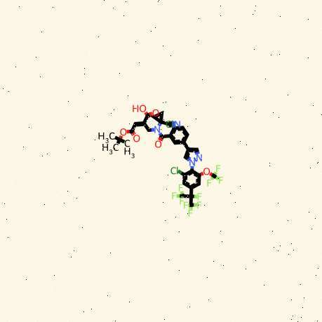 CC(C)(C)OC(=O)/C=C(\CN(C(=O)c1cc(-c2cnn(-c3c(Cl)cc(C(F)(C(F)(F)F)C(F)(F)F)cc3OC(F)(F)F)c2)ccc1Cl)C1(C#N)CC1)C(=O)O